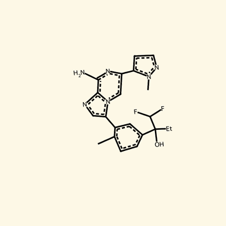 CCC(O)(c1ccc(C)c(-c2cnc3c(N)nc(-c4ccnn4C)cn23)c1)C(F)F